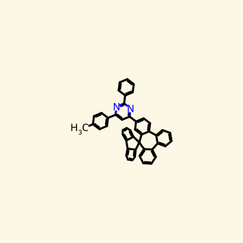 Cc1ccc(-c2cc(-c3ccc4c(c3)C3(c5ccccc5-c5ccccc5-4)c4ccccc4-c4ccccc43)nc(-c3ccccc3)n2)cc1